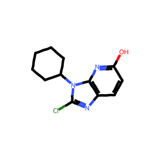 Oc1ccc2nc(Cl)n(C3CCCCC3)c2n1